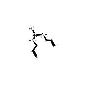 C=CCNN(CC)NCC=C